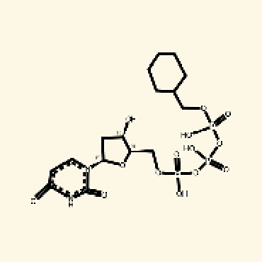 O=c1ccn([C@H]2C[C@@H](O)[C@@H](COP(=O)(O)OP(=O)(O)OP(=O)(O)OCC3CCCCC3)O2)c(=O)[nH]1